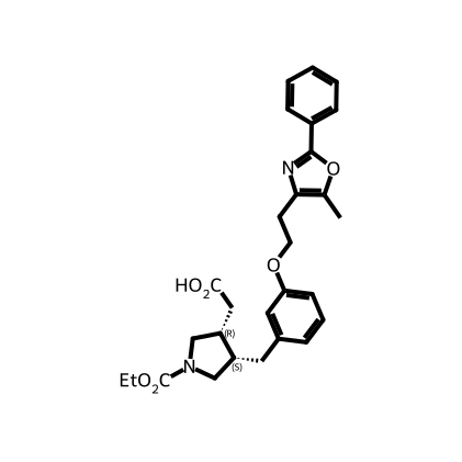 CCOC(=O)N1C[C@@H](Cc2cccc(OCCc3nc(-c4ccccc4)oc3C)c2)[C@@H](CC(=O)O)C1